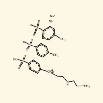 Cc1ccc(S(=O)(=O)O)cc1.Cc1ccc(S(=O)(=O)[O-])cc1.Cc1ccc(S(=O)(=O)[O-])cc1.NCCNCCN.[Na+].[Na+]